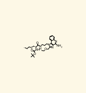 [CH2][CH]CSC[C@H](NC(=O)OC(C)(C)C)C(=O)NCCCn1c(COCC)nc2c(N)nc3ccccc3c21